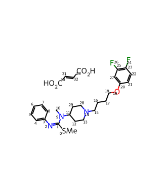 CSC(=Nc1ccccc1)N(C)C1CCN(CCCCOc2ccc(F)c(F)c2)CC1.O=C(O)/C=C/C(=O)O